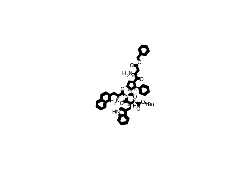 CC(C)(C)OC(=O)N[C@@H](Cc1c[nH]c2ccccc12)C(=O)N(C(=O)[C@@H](N)Cc1ccc2ccccc2c1)C(=O)[C@@H]1CCC(C(=O)[C@@H](N)CC(=O)OCc2ccccc2)[C@H]1c1ccccc1